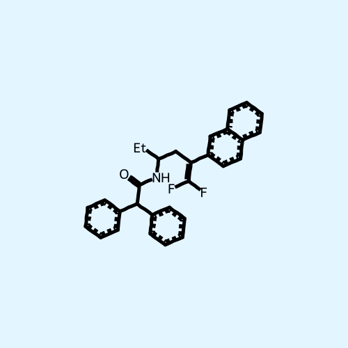 CCC(CC(=C(F)F)c1ccc2ccccc2c1)NC(=O)C(c1ccccc1)c1ccccc1